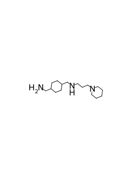 NCC1CCC(CNCCCN2CCCCC2)CC1